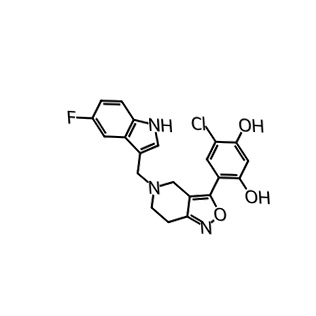 Oc1cc(O)c(-c2onc3c2CN(Cc2c[nH]c4ccc(F)cc24)CC3)cc1Cl